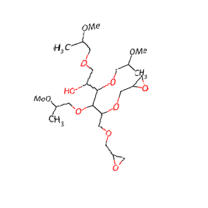 COC(C)COCC(O)C(OCC(C)OC)C(OCC(C)OC)C(COCC1CO1)OCC1CO1